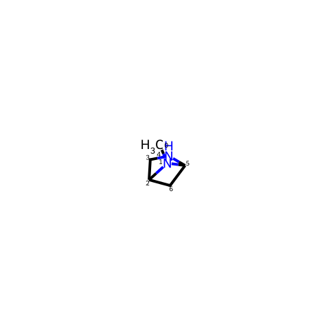 CN1C2CNC1C2